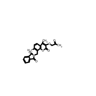 CC(=O)COc1c(C)c2ccc(C)c(CN3C(=O)c4ccccc4C3=O)c2oc1=O